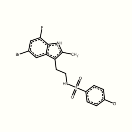 [CH2]c1[nH]c2c(F)cc(Br)cc2c1CCNS(=O)(=O)c1ccc(Cl)cc1